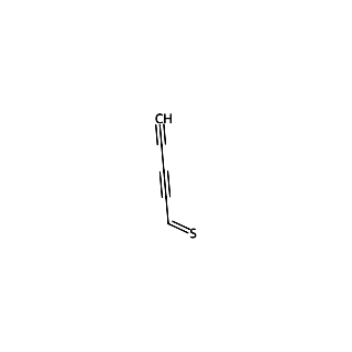 C#CC#CC=S